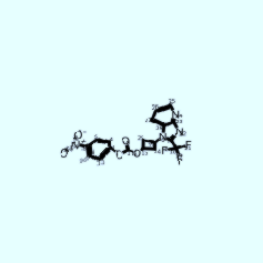 O=C(Oc1ccc([N+](=O)[O-])cc1)OC1CC(n2c(C(F)(F)F)nc3ncccc32)C1